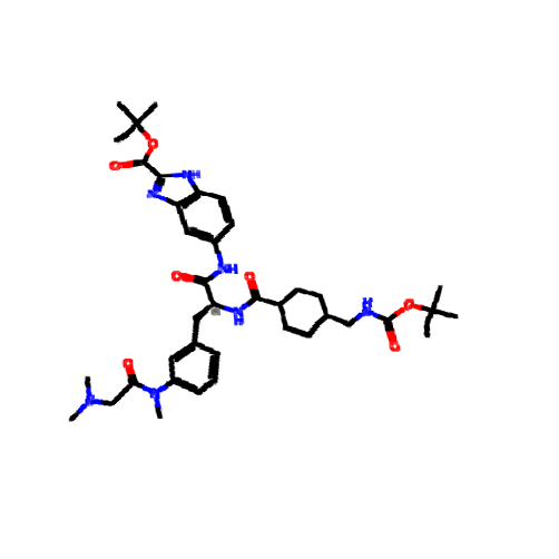 CN(C)CC(=O)N(C)c1cccc(C[C@H](NC(=O)C2CCC(CNC(=O)OC(C)(C)C)CC2)C(=O)Nc2ccc3[nH]c(C(=O)OC(C)(C)C)nc3c2)c1